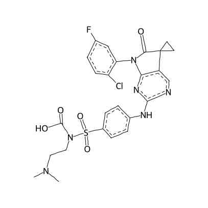 CN(C)CCN(C(=O)O)S(=O)(=O)c1ccc(Nc2ncc3c(n2)N(c2cc(F)ccc2Cl)C(=O)C32CC2)cc1